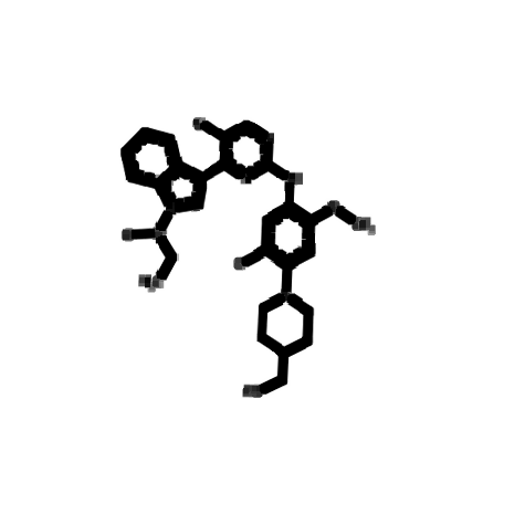 CC[S+]([O-])n1cc(-c2nc(Nc3cc(Cl)c(N4CCC(CO)CC4)cc3OC)ncc2Cl)c2ccccc21